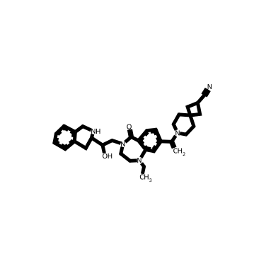 C=C(c1ccc2c(c1)N(CC)CCN(CC(O)C1Cc3ccccc3CN1)C2=O)N1CCC2(CC1)CC(C#N)C2